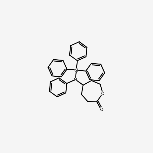 O=C1CCC(N(c2ccccc2)[Si](c2ccccc2)(c2ccccc2)c2ccccc2)CCO1